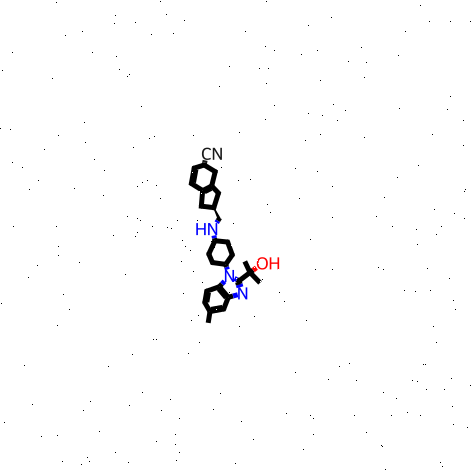 Cc1ccc2c(c1)nc(C(C)(C)O)n2C1CCC(NC[C@H]2CC3=C(CC(C#N)C=C3)C2)CC1